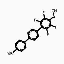 CCCCc1ccc(-c2ccc(-c3c(F)c(F)c(SC#N)c(F)c3F)cc2)cc1